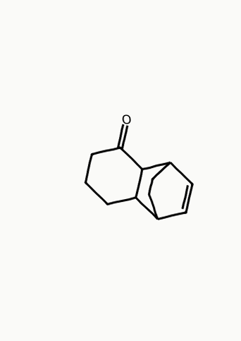 O=C1CCCC2C3C=CC(CC3)C12